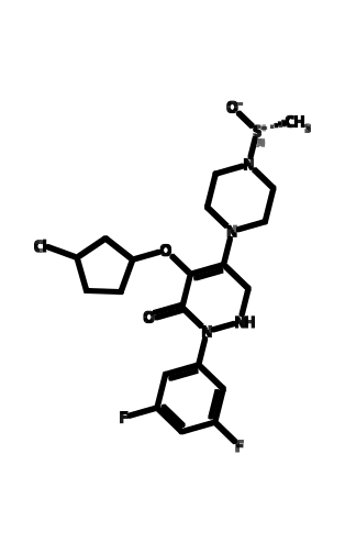 C[S@@+]([O-])N1CCN(C2=C(OC3CCC(Cl)C3)C(=O)N(c3cc(F)cc(F)c3)NC2)CC1